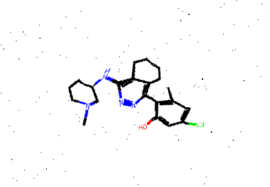 Cc1cc(Cl)cc(O)c1-c1nnc(N[C@@H]2CCCN(C)C2)c2c1CCCC2